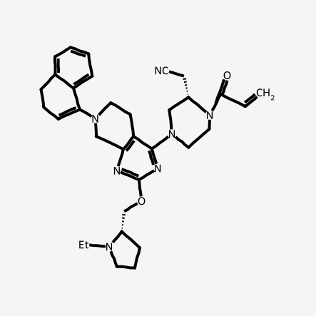 C=CC(=O)N1CCN(c2nc(OC[C@@H]3CCCN3CC)nc3c2CCN(C2=CCCc4ccccc42)C3)C[C@@H]1CC#N